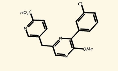 COc1ncc(Cc2ccc(C(=O)O)nc2)nc1-c1cccc(Cl)c1